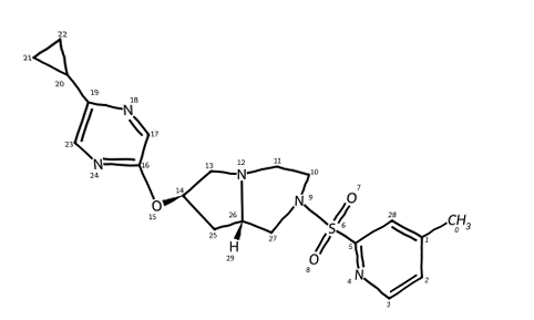 Cc1ccnc(S(=O)(=O)N2CCN3C[C@H](Oc4cnc(C5CC5)cn4)C[C@H]3C2)c1